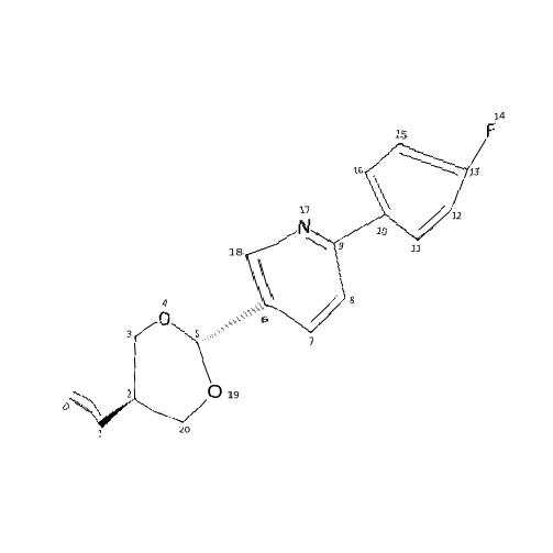 C=C[C@H]1CO[C@H](c2ccc(-c3ccc(F)cc3)nc2)OC1